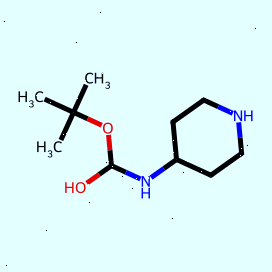 CC(C)(C)OC(O)NC1CCNCC1